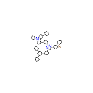 c1ccc(-c2cc(-c3ccccc3)cc(-c3cccc(-c4cc(-c5ccc6sc7ccccc7c6c5)nc(-c5cccc(-c6cccc7c6c6cc(-c8ccccc8)ccc6n7-c6ccccc6)c5)n4)c3)c2)cc1